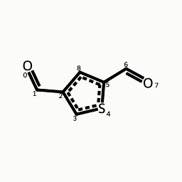 O=Cc1csc(C=O)c1